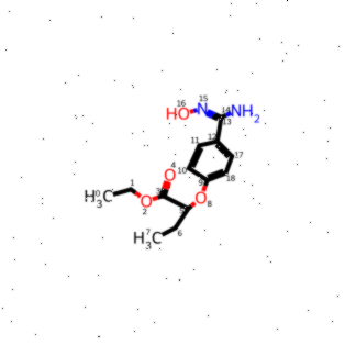 CCOC(=O)C(CC)Oc1ccc(/C(N)=N\O)cc1